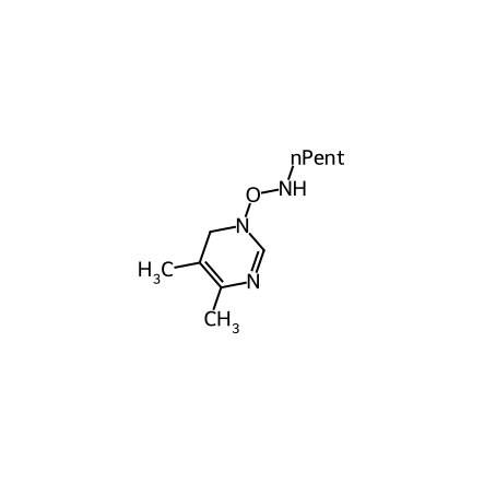 CCCCCNON1C=NC(C)=C(C)C1